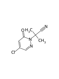 CC(C)(C#N)n1ncc(Cl)cc1=O